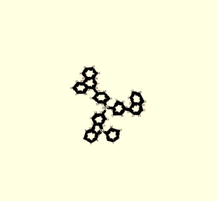 c1ccc(-n2c3ccccc3c3ccc(N(c4ccc(-c5cccc6ccccc56)cc4)c4ccc(-c5cc6ccccc6c6ccccc56)cc4)cc32)cc1